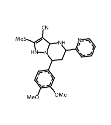 COc1ccc(C2CC(c3ccccn3)NC3C(C#N)=C(SC)NN32)cc1OC